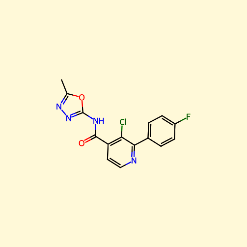 Cc1nnc(NC(=O)c2ccnc(-c3ccc(F)cc3)c2Cl)o1